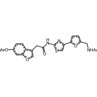 COc1ccc2c(CC(=O)Nc3nc(-c4ccc(CNC(C)=O)o4)cs3)coc2c1